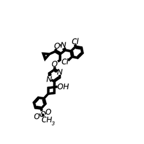 CS(=O)(=O)c1cccc(C2CC(O)(c3cnc(OCc4c(-c5c(Cl)cccc5Cl)noc4C4CC4)cn3)C2)c1